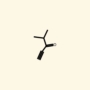 C#CC(=O)C(C)C